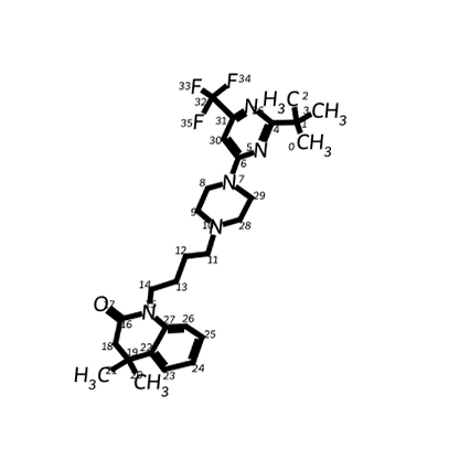 CC(C)(C)c1nc(N2CCN(CCCCN3C(=O)CC(C)(C)c4ccccc43)CC2)cc(C(F)(F)F)n1